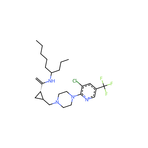 C=C(NC(CCC)CCCCC)[C@H]1CC1CN1CCN(c2ncc(C(F)(F)F)cc2Cl)CC1